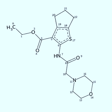 CCOC(=O)c1c(NC(=O)CN2CCOCC2)sc2c1CCC2